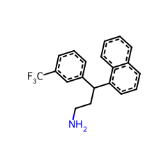 NCCC(c1cccc(C(F)(F)F)c1)c1cccc2ccccc12